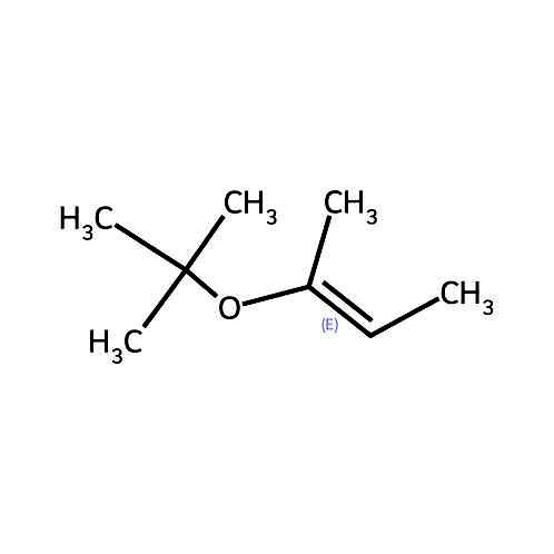 C/C=C(\C)OC(C)(C)C